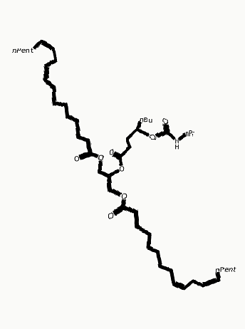 CCCCC/C=C\C/C=C\CCCCCCCC(=O)OCC(COC(=O)CCCCCCC/C=C\C/C=C\CCCCC)OC(=O)CCC(CCCC)OC(=O)NCCC